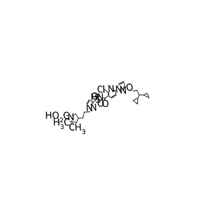 CC1(C)CC(CCCn2ccc(S(=O)(=O)NC(=O)c3ccc(-n4ccc(OCCC(C5CC5)C5CC5)n4)nc3Cl)n2)CN1C(=O)O